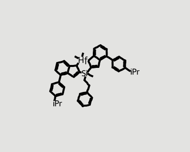 CC(C)c1ccc(-c2cccc3c2C=C2[CH]3[Hf]([CH3])([CH3])[CH]3C(=Cc4c(-c5ccc(C(C)C)cc5)cccc43)[Si]2(C)CCc2ccccc2)cc1